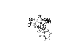 Cc1ccccc1S(=O)(=O)N1C=C(C(=O)O)CC1(C(=O)O)C(=O)O